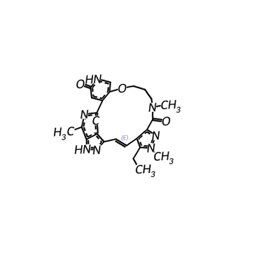 CCc1c2c(nn1C)C(=O)N(C)CCCOc1c[nH]c(=O)cc1-c1cc3c(n[nH]c3c(C)n1)/C=C/2